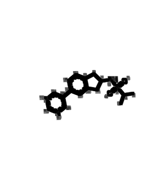 CC(C)S(=O)(=O)NC1Cc2ccc(-c3cncnc3)cc2C1